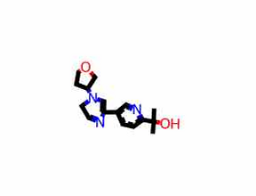 CC(C)(O)c1ccc(C2=CN(C3CCOC3)CC=N2)cn1